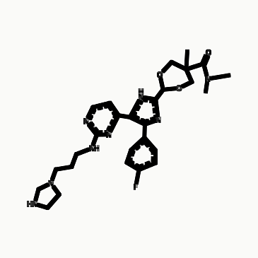 CN(C)C(=O)C1(C)COC(c2nc(-c3ccc(F)cc3)c(-c3ccnc(NCCCN4CCNC4)n3)[nH]2)OC1